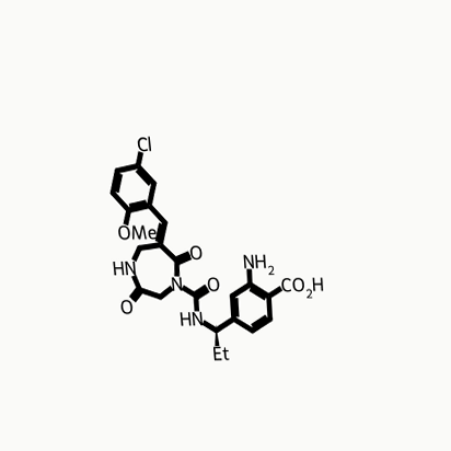 CC[C@@H](NC(=O)N1CC(=O)NC/C(=C\c2cc(Cl)ccc2OC)C1=O)c1ccc(C(=O)O)c(N)c1